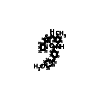 Cc1ccc(NC(=O)c2ccc(CN3CCN(C)CC3)cc2)cc1Nc1nc(-c2ccccn2)cs1